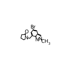 Cn1cc2cc(Br)cc(CN3CCCC3=O)c2n1